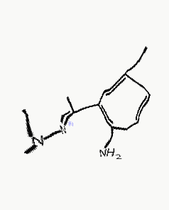 C/C(=N\N(C)C)c1cc(C)ccc1N